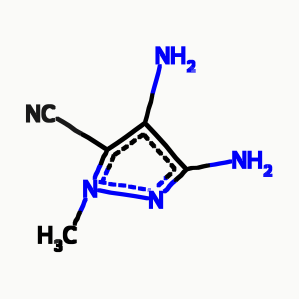 Cn1nc(N)c(N)c1C#N